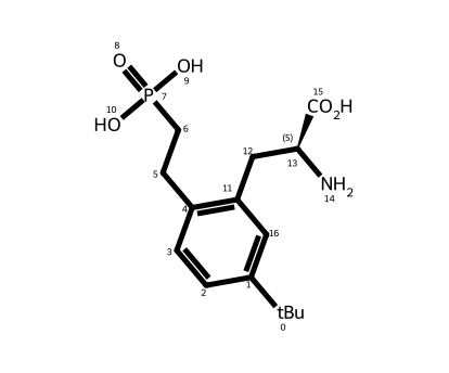 CC(C)(C)c1ccc(CCP(=O)(O)O)c(C[C@H](N)C(=O)O)c1